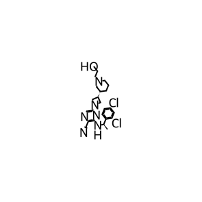 C[C@@H](Nc1nc(N2CC([C@H]3CCCN(CCO)C3)C2)cnc1C#N)c1ccc(Cl)cc1Cl